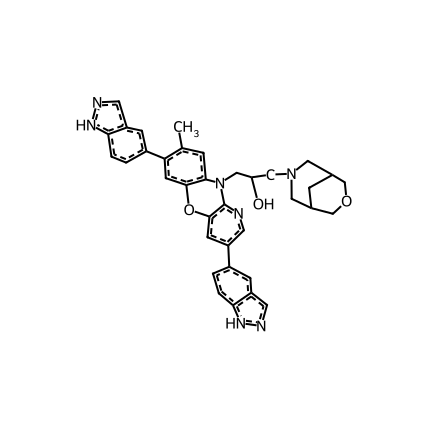 Cc1cc2c(cc1-c1ccc3[nH]ncc3c1)Oc1cc(-c3ccc4[nH]ncc4c3)cnc1N2CC(O)CN1CC2COCC(C2)C1